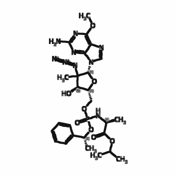 COc1nc(N)nc2c1ncn2[C@@H]1O[C@H](COP(=O)(N[C@@H](C)C(=O)OC(C)C)O[C@H](C)c2ccccc2)[C@@H](O)C1(C)N=[N+]=[N-]